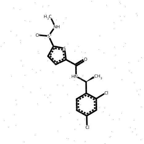 CN[S+]([O-])c1ccc(C(=O)N[C@@H](C)c2ccc(Cl)cc2Cl)s1